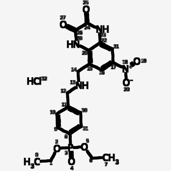 CCOP(=O)(OCC)c1ccc(CNCc2cc([N+](=O)[O-])cc3[nH]c(=O)c(=O)[nH]c23)cc1.Cl